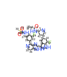 CC(C)C(=O)Nc1cncc(-c2cc(F)c3[nH]nc(-c4nc5c(-c6cc(F)cc(CNS(C)(=O)=O)c6)nccc5[nH]4)c3c2)c1